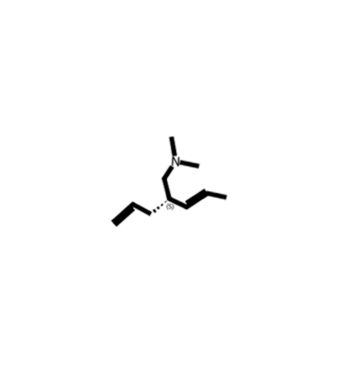 C=CC[C@@H](C=CC)CN(C)C